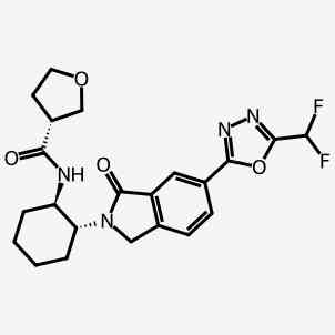 O=C(N[C@@H]1CCCC[C@H]1N1Cc2ccc(-c3nnc(C(F)F)o3)cc2C1=O)[C@@H]1CCOC1